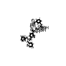 COOC(=O)c1cccc(CC(SCCNC(=O)c2ccc(CN(Cc3ccccn3)Cc3ccccn3)nc2)B(O)O)c1